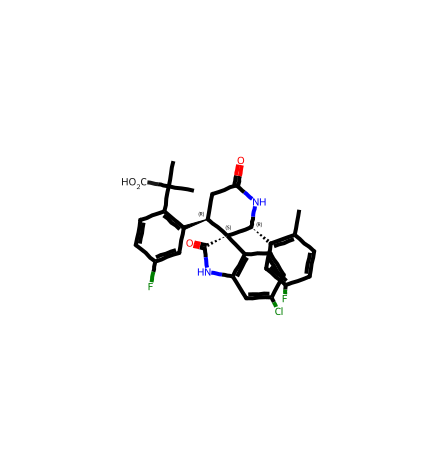 Cc1ccc(F)cc1[C@H]1NC(=O)C[C@H](c2cc(F)ccc2C(C)(C)C(=O)O)[C@@]12C(=O)Nc1cc(Cl)ccc12